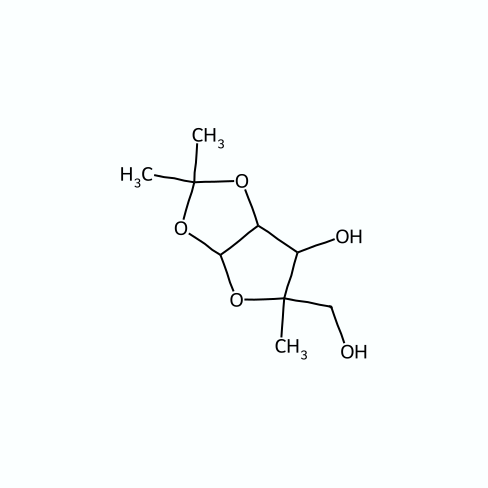 CC1(C)OC2OC(C)(CO)C(O)C2O1